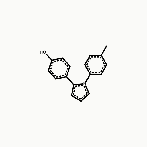 Cc1ccc(-n2cccc2-c2ccc(O)cc2)cc1